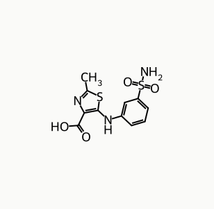 Cc1nc(C(=O)O)c(Nc2cccc(S(N)(=O)=O)c2)s1